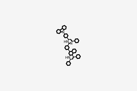 C1=C(c2ccccc2)N=C(c2cccc(-c3cc4c(c5ccccc35)C(c3ccccc3)=CC(c3ccccc3)N4)c2)NC1c1ccc(-n2c3ccccc3c3ccccc32)cc1